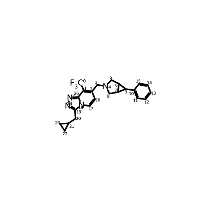 FC(F)(F)c1c(CN2CC3C(C2)C3c2ccccc2)ccn2c(CC3CC3)nnc12